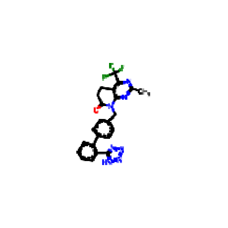 Cc1nc2c(c(C(F)(F)F)n1)CCC(=O)N2Cc1ccc(-c2ccccc2-c2nnn[nH]2)cc1